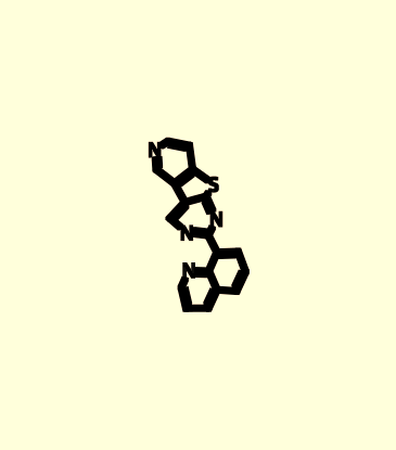 c1cnc2c(-c3ncc4c(n3)sc3ccncc34)cccc2c1